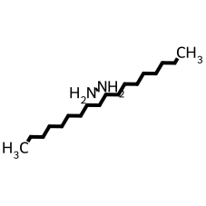 CCCCCCCCCCCCCCCCCC.NN